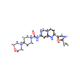 Cc1ncc(-c2ccc3cnc(NC(=O)N4CCC(N5CCOCC5)CC4)cc3n2)o1